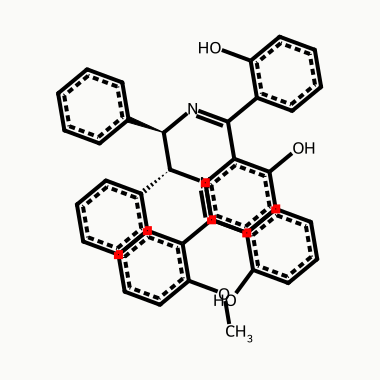 COc1ccccc1/C(=N\[C@H](c1ccccc1)[C@H](N=C(c1ccccc1O)c1ccccc1O)c1ccccc1)c1ccccc1O